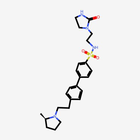 C[C@@H]1CCCN1CCc1ccc(-c2ccc(S(=O)(=O)NCCN3CCNC3=O)cc2)cc1